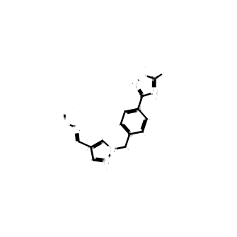 CCCON=Cc1cnn(Cc2ccc(-c3noc(C(F)(F)F)n3)cc2)c1